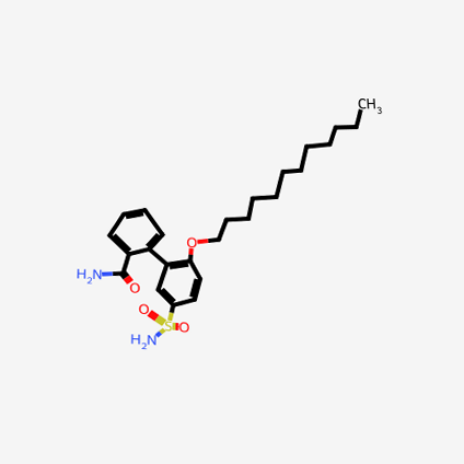 CCCCCCCCCCCCOc1ccc(S(N)(=O)=O)cc1-c1ccccc1C(N)=O